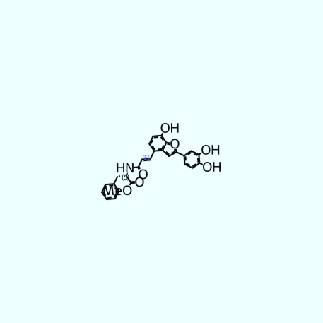 COC(=O)[C@H](Cc1ccccc1)NC(=O)/C=C/c1ccc(O)c2oc(-c3ccc(O)c(O)c3)cc12